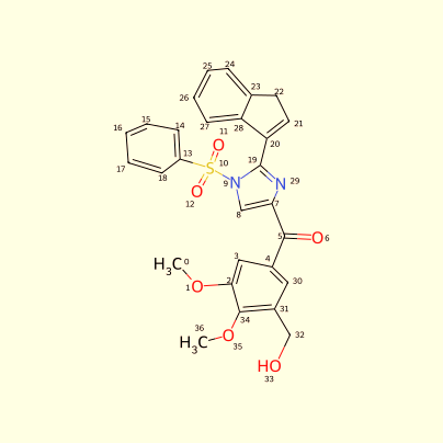 COc1cc(C(=O)c2cn(S(=O)(=O)c3ccccc3)c(C3=CCc4ccccc43)n2)cc(CO)c1OC